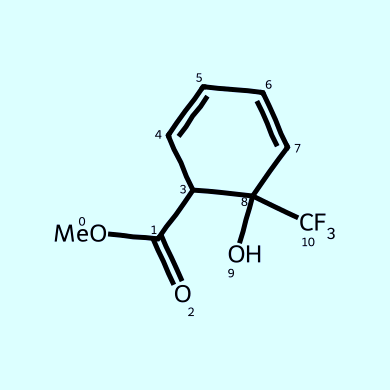 COC(=O)C1C=CC=CC1(O)C(F)(F)F